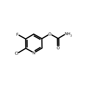 NC(=O)Oc1cnc(Cl)c(F)c1